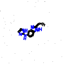 CC(C)Cc1nc2cc(NC3=NCCN3)ccc2[nH]1